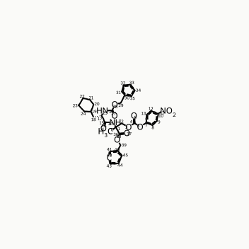 CC(COC(=O)Oc1ccc([N+](=O)[O-])cc1)(NC(=O)[C@H](CC1CCCCC1)NC(=O)OCc1ccccc1)C(=O)OCc1ccccc1